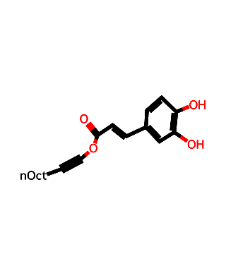 CCCCCCCCC#COC(=O)C=Cc1ccc(O)c(O)c1